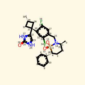 C[C@H]1CC[C@H](c2ccccc2)S(=O)(=O)N1Cc1cc(F)c([C@]2(c3c[nH]c(=O)[nH]3)C[C@@H](C)C2)cc1F